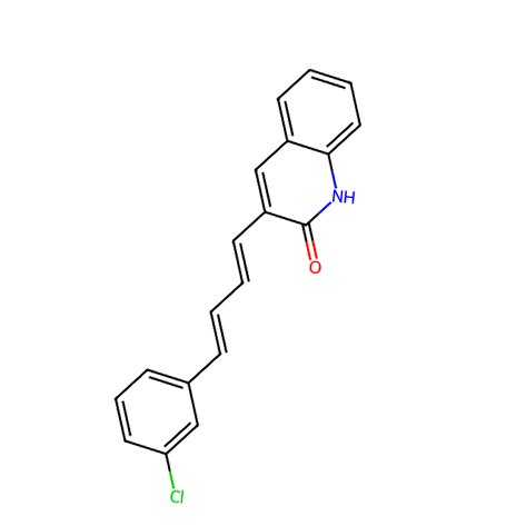 O=c1[nH]c2ccccc2cc1/C=C/C=C/c1cccc(Cl)c1